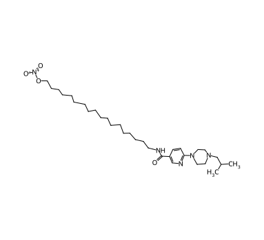 CC(C)CN1CCN(c2ccc(C(=O)NCCCCCCCCCCCCCCCCCCO[N+](=O)[O-])cn2)CC1